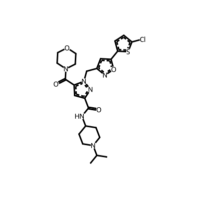 CC(C)N1CCC(NC(=O)c2cc(C(=O)N3CCOCC3)n(Cc3cc(-c4ccc(Cl)s4)on3)n2)CC1